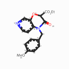 CCOC(=O)C1Oc2cnccc2N(Cc2ccc(OC)cc2)C1=O